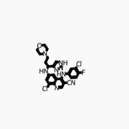 N#Cc1cnc2c(Cl)cc(NC(CCN3CCOCC3)c3c[nH]nn3)cc2c1Nc1ccc(F)c(Cl)c1